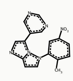 Cc1ccc([N+](=O)[O-])cc1-n1ccc2ncc(-c3cncnc3)n21